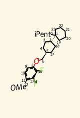 CCCC(C)C1([C@H]2CC[C@H](COc3ccc(OC)c(F)c3F)CC2)CCCCC1